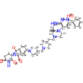 O=C1CCC(N2C(=O)c3ccc(N4CCC(CN5CCC(CCN6CCN7c8cc(-c9ccccc9O)nnc8NC[C@H]7C6)CC5)CC4)cc3C2=O)C(=O)N1